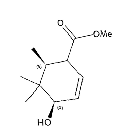 COC(=O)C1C=C[C@@H](O)C(C)(C)[C@H]1C